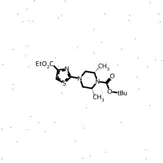 CCOC(=O)c1csc(N2C[C@@H](C)N(C(=O)OC(C)(C)C)[C@@H](C)C2)n1